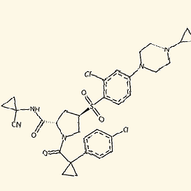 N#CC1(NC(=O)[C@@H]2C[C@@H](S(=O)(=O)c3ccc(N4CCN(C5CC5)CC4)cc3Cl)CN2C(=O)C2(c3ccc(Cl)cc3)CC2)CC1